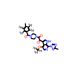 [2H]c1c([2H])c(C(=O)N2CCN(C(=O)C(=O)c3c[nH]c4c(-n5cnc(C)n5)ncc(OC([2H])([2H])[2H])c34)CC2)c([2H])c([2H])c1C